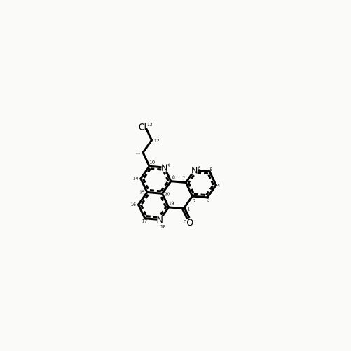 O=C1c2cccnc2-c2nc(CCCl)cc3ccnc1c23